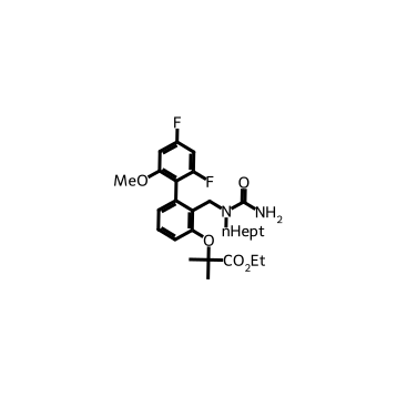 CCCCCCCN(Cc1c(OC(C)(C)C(=O)OCC)cccc1-c1c(F)cc(F)cc1OC)C(N)=O